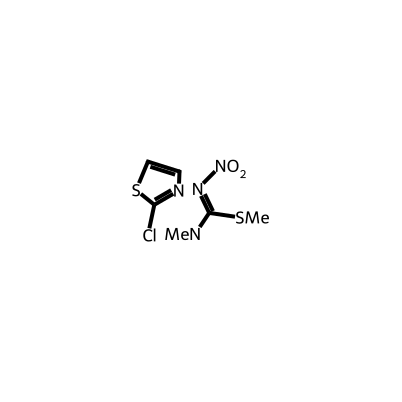 CNC(=N[N+](=O)[O-])SC.Clc1nccs1